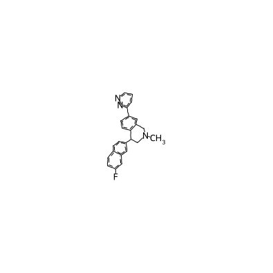 CN1Cc2cc(-c3cccnn3)ccc2C(c2ccc3ccc(F)cc3c2)C1